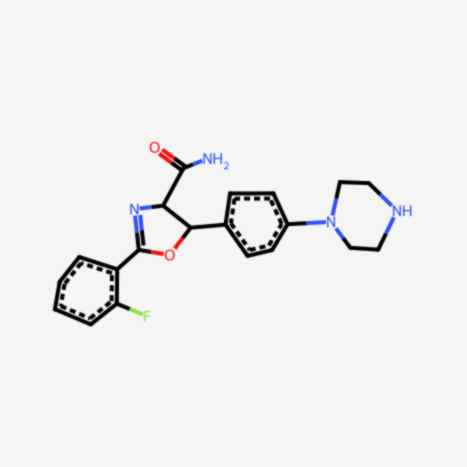 NC(=O)C1N=C(c2ccccc2F)OC1c1ccc(N2CCNCC2)cc1